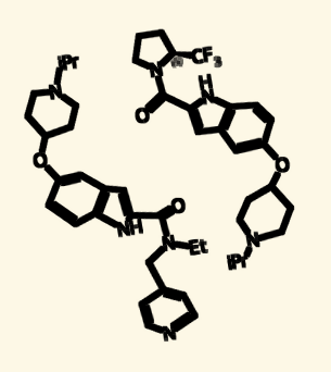 CC(C)N1CCC(Oc2ccc3[nH]c(C(=O)N4CCC[C@H]4C(F)(F)F)cc3c2)CC1.CCN(Cc1ccncc1)C(=O)c1cc2cc(OC3CCN(C(C)C)CC3)ccc2[nH]1